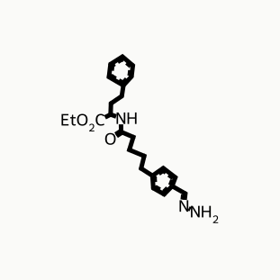 CCOC(=O)C(CCc1ccccc1)NC(=O)CCCCc1ccc(C=NN)cc1